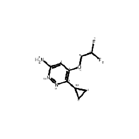 Nc1cc(OCC(F)F)c(C2CC2)nn1